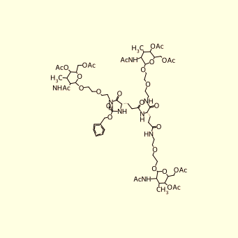 CC(=O)NC1C(OCCOCCNC(=O)CC[C@H](NC(=O)CC[C@H](NC(=O)OCc2ccccc2)C(=O)NCCOCCOC2OC(COC(C)=O)C(OC(C)=O)C(C)C2NC(C)=O)C(=O)NCCOCCOC2OC(COC(C)=O)C(OC(C)=O)C(C)C2NC(C)=O)OC(COC(C)=O)C(OC(C)=O)C1C